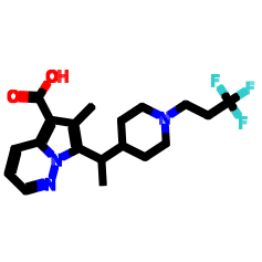 Cc1c(C(=O)O)c2cccnn2c1C(C)C1CCN(CCC(F)(F)F)CC1